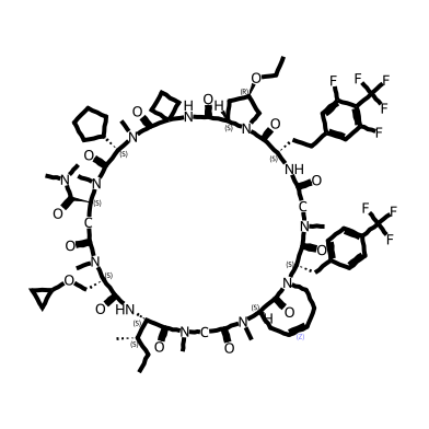 CCO[C@@H]1C[C@H]2C(=O)NC3(CCC3)C(=O)N(C)[C@@H](C3CCCC3)C(=O)N(C)[C@H](C(=O)N(C)C)CC(=O)N(C)[C@@H](COC3CC3)C(=O)N[C@@H]([C@@H](C)CC)C(=O)N(C)CC(=O)N(C)[C@H]3C/C=C\CCN(C3=O)[C@@H](Cc3ccc(C(F)(F)F)cc3)C(=O)N(C)CC(=O)N[C@@H](CCc3cc(F)c(C(F)(F)F)c(F)c3)C(=O)N2C1